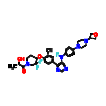 C[C@H](O)C(=O)N1CCC(Oc2ccc(-c3ncncc3N(F)c3ccc(N4CCN(C5COC5)CC4)cc3)cc2C#N)C(F)(F)C1